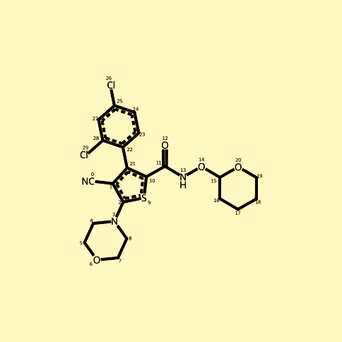 N#Cc1c(N2CCOCC2)sc(C(=O)NOC2CCCCO2)c1-c1ccc(Cl)cc1Cl